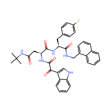 CC(C)(C)NC(=O)C[C@H](NC(=O)C(=O)c1c[nH]c2ccccc12)C(=O)N[C@@H](Cc1ccc(F)cc1)C(=O)NCc1cccc2ccccc12